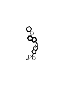 CCOC(=O)C1CC2CN(Cc3ccc4c(OC5CCCCC5)cccc4c3)CC2C1